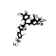 CS(=O)(=O)c1ccc(-c2csc(C(Cc3ccc(C(F)(F)P(=O)(O)O)c(Br)c3)c3ccc(Cl)c(Cl)c3)n2)cc1